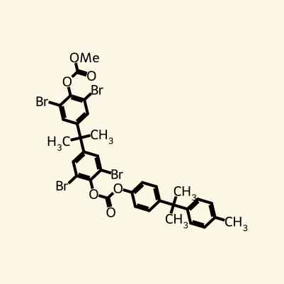 COC(=O)Oc1c(Br)cc(C(C)(C)c2cc(Br)c(OC(=O)Oc3ccc(C(C)(C)c4ccc(C)cc4)cc3)c(Br)c2)cc1Br